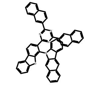 c1ccc2cc(-c3nc(-c4ccc5ccccc5c4)nc(-c4ccc5c(sc6ccccc65)c4-n4c5ccccc5c5cc6ccccc6cc54)n3)ccc2c1